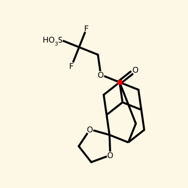 O=C(OCC(F)(F)S(=O)(=O)O)C1C2CC3CC(C2)C2(OCCO2)C1C3